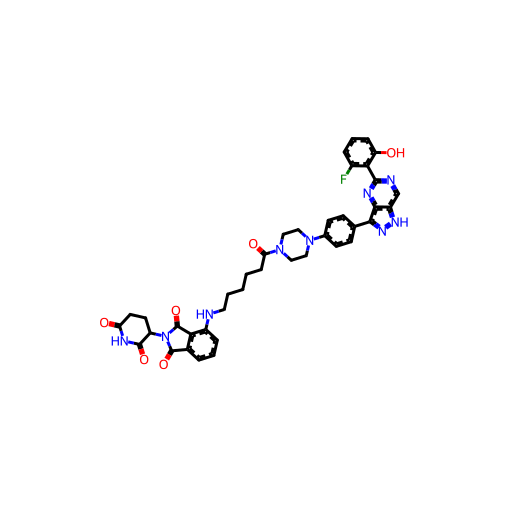 O=C1CCC(N2C(=O)c3cccc(NCCCCCC(=O)N4CCN(c5ccc(-c6n[nH]c7cnc(-c8c(O)cccc8F)nc67)cc5)CC4)c3C2=O)C(=O)N1